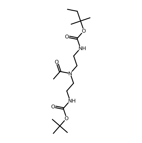 CCC(C)(C)OC(=O)NCCN(CCNC(=O)OC(C)(C)C)C(C)=O